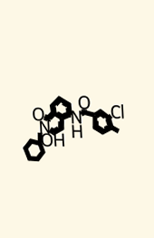 Cc1ccc(C(=O)Nc2cccc3c(=O)n(CC4(O)CCCCC4)ccc23)cc1Cl